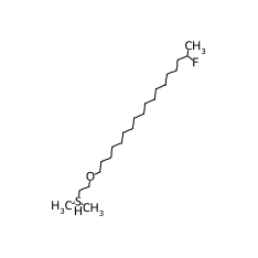 CC(F)CCCCCCCCCCCCCCCCOCC[SH](C)C